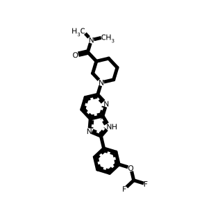 CN(C)C(=O)C1CCCN(c2ccc3nc(-c4cccc(OC(F)F)c4)[nH]c3n2)C1